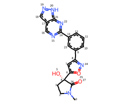 CN1CC[C@@](O)(c2cc(-c3cccc(-c4ncc5cn[nH]c5n4)c3)no2)C1=O